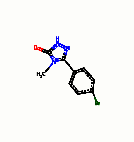 Cn1c(-c2ccc(Br)cc2)n[nH]c1=O